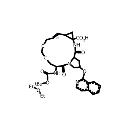 CC(C)(C)OC(=O)NC1CCCCC/C=C/C2CC2(C(=O)O)NC(=O)C2CC(Oc3nccc4ccccc34)CN2C1=O.CCOCC